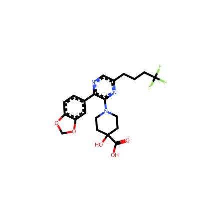 O=C(O)C1(O)CCN(c2nc(CCCC(F)(F)F)cnc2-c2ccc3c(c2)OCO3)CC1